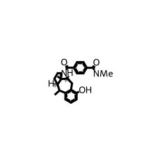 CNC(=O)c1ccc(C(=O)N2CC[C@@H]3C(C)c4cccc(O)c4C[C@@H]2C3(C)C)cc1